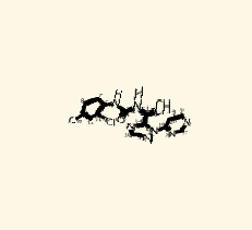 CC(NC(=O)Nc1ccc(Cl)cc1Cl)c1ncnn1-c1ccncn1